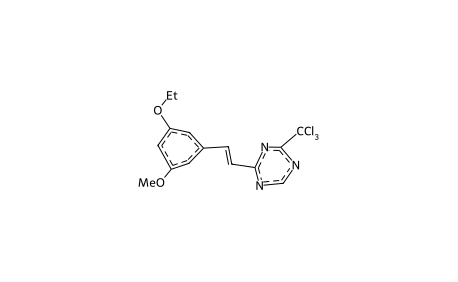 CCOc1cc(C=Cc2ncnc(C(Cl)(Cl)Cl)n2)cc(OC)c1